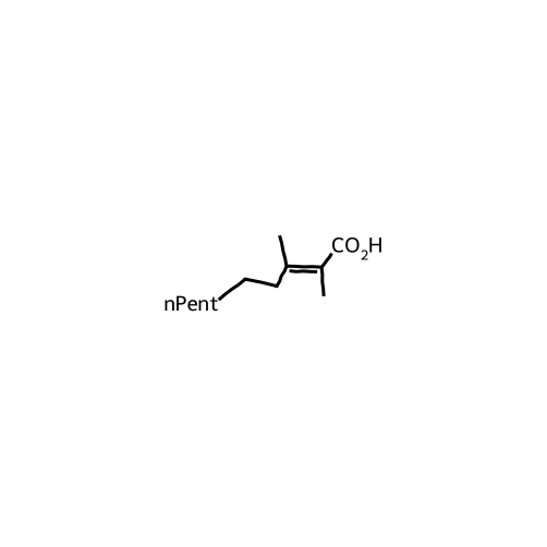 CCCCCCC/C(C)=C(\C)C(=O)O